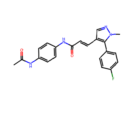 CC(=O)Nc1ccc(NC(=O)C=Cc2cnn(C)c2-c2ccc(F)cc2)cc1